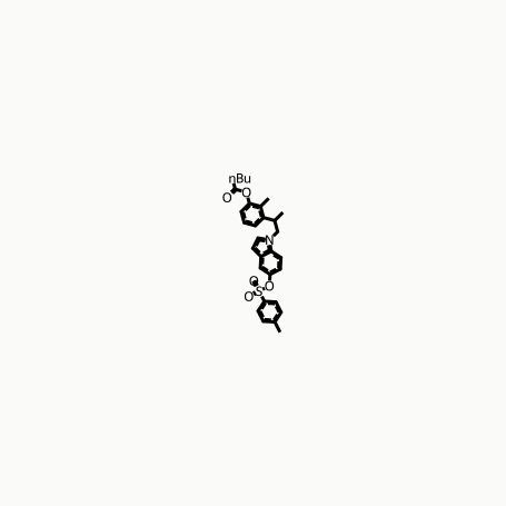 CCCCC(=O)Oc1cccc(C(C)Cn2ccc3cc(OS(=O)(=O)c4ccc(C)cc4)ccc32)c1C